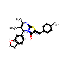 CCOC(=O)C1=C(C)N=c2s/c(=C\c3ccc(C)cc3)c(=O)n2C1c1ccc2c(c1)OCC2